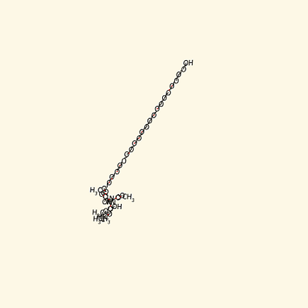 CCC(C)(CC)C(=O)C(C)Oc1ccc(-c2nc(-c3ccc(OC)cc3)nc(-c3ccc(OC(C)C(=O)OCCOCCOCCOCCOCCOCCOCCOCCOCCOCCOCCOCCOCCOCCOCCOCCOCCOCCOCCOCCOCCOCCO)cc3O)n2)c(O)c1